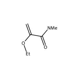 C=C(OCC)C(=O)NC